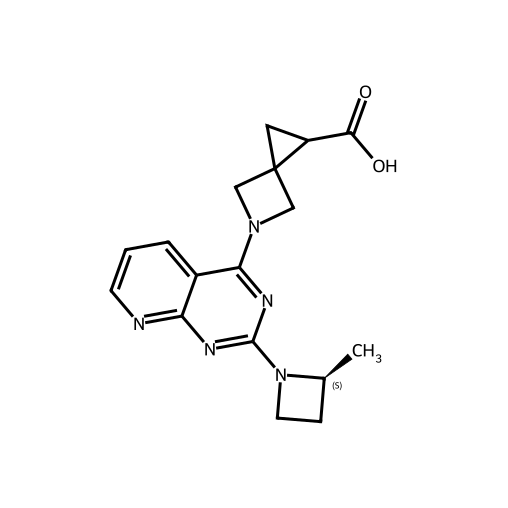 C[C@H]1CCN1c1nc(N2CC3(CC3C(=O)O)C2)c2cccnc2n1